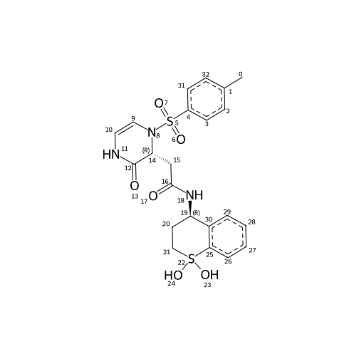 Cc1ccc(S(=O)(=O)N2C=CNC(=O)[C@H]2CC(=O)N[C@@H]2CCS(O)(O)c3ccccc32)cc1